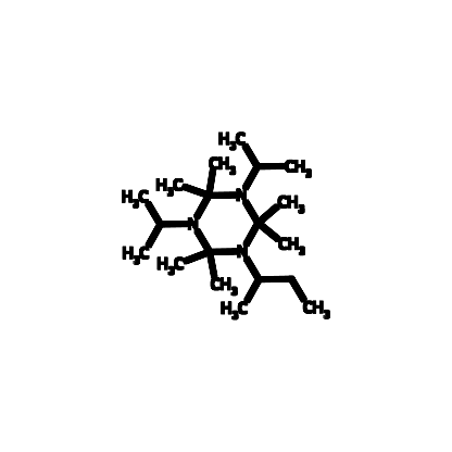 CCC(C)N1C(C)(C)N(C(C)C)C(C)(C)N(C(C)C)C1(C)C